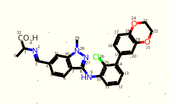 CC(N=Cc1ccc2c(Nc3cccc(-c4ccc5c(c4)OCCO5)c3Cl)nn(C)c2c1)C(=O)O